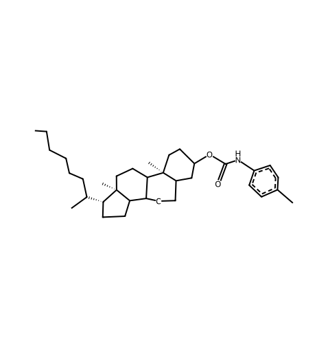 CCCCCCC(C)[C@H]1CCC2C3CCC4CC(OC(=O)Nc5ccc(C)cc5)CC[C@]4(C)C3CC[C@@]21C